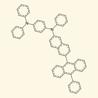 c1ccc(-c2c3ccccc3c(-c3ccc4cc(N(c5ccccc5)c5ccc(N(c6ccccc6)c6ccccc6)cc5)ccc4c3)c3ccccc23)cc1